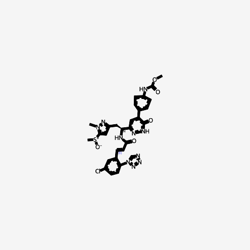 COC(=O)Nc1ccc(-c2cc([C@H](Cc3cc([S+](C)[O-])n(C)n3)NC(=O)/C=C/c3cc(Cl)ccc3-n3cnnn3)n[nH]c2=O)cc1